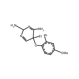 CCC1(Oc2ccc(OC)cc2C(C)C)C=NC(N)N=C1N